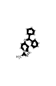 Cc1nnc2cc(N=C(c3ccccc3)c3ccccc3)ccn12